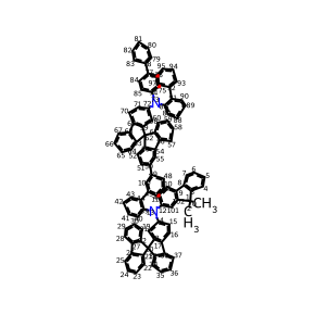 CC1(C)c2ccccc2-c2ccc(N(c3ccc4c(c3)C3(c5ccccc5-c5ccccc53)c3ccccc3-4)c3ccccc3-c3cccc(-c4ccc5c(c4)-c4ccccc4C54c5ccccc5-c5ccc(N(c6ccc(-c7ccccc7)cc6)c6ccccc6-c6ccccc6)cc54)c3)cc21